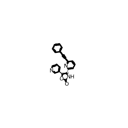 O=C1N[C@@H](c2cccc(C#Cc3ccccc3)n2)[C@H](c2cccnc2)O1